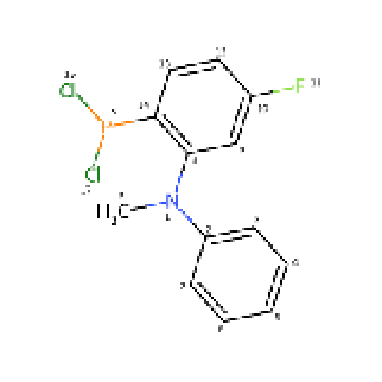 CN(c1ccccc1)c1cc(F)ccc1P(Cl)Cl